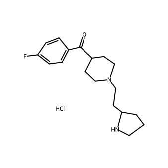 Cl.O=C(c1ccc(F)cc1)C1CCN(CCC2CCCN2)CC1